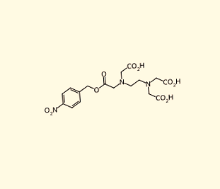 O=C(O)CN(CCN(CC(=O)O)CC(=O)OCc1ccc([N+](=O)[O-])cc1)CC(=O)O